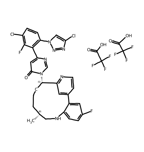 C[C@@H]1CCC[C@H](n2cnc(-c3c(-n4cc(Cl)nn4)ccc(Cl)c3F)cc2=O)c2cc(ccn2)-c2cc(F)ccc2NC1.O=C(O)C(F)(F)F.O=C(O)C(F)(F)F